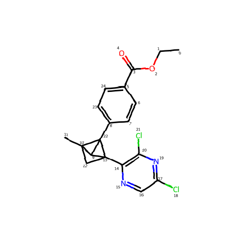 CCOC(=O)c1ccc(C2C3(C)CC2(c2ncc(Cl)nc2Cl)C3)cc1